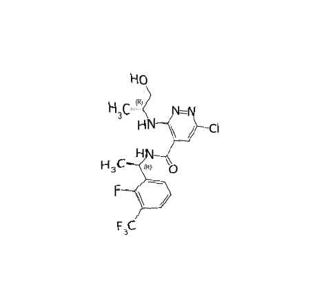 C[C@H](CO)Nc1nnc(Cl)cc1C(=O)N[C@H](C)c1cccc(C(F)(F)F)c1F